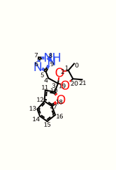 CC1OC(Cc2nc[nH]n2)(c2cc3ccccc3o2)OC1C